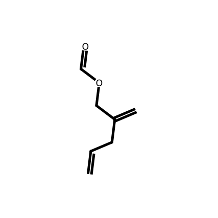 C=CCC(=C)COC=O